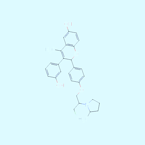 CC1=C(c2cccc(O)c2)C(c2ccc(OCC(CF)N3CCCC3C)cc2)Oc2ccc(O)cc21